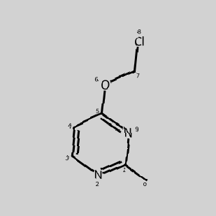 Cc1nc[c]c(OCCl)n1